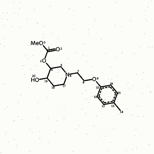 COC(=O)OC1CN(CCOc2ccc(C)cc2)CCC1O